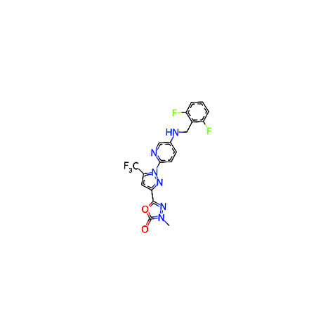 Cn1nc(-c2cc(C(F)(F)F)n(-c3ccc(NCc4c(F)cccc4F)cn3)n2)oc1=O